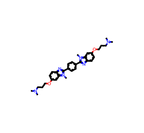 CN(C)CCCOc1ccc2nc(-c3ccc(-c4nc5ccc(OCCCN(C)C)cc5n4C)cc3)n(C)c2c1